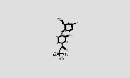 C=Cc1cc(F)ccc1CN1CCN(C(=O)OC(C)(C)C)CC1=O